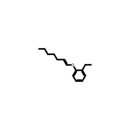 C[CH]c1ccccc1O/C=C/CCCCC